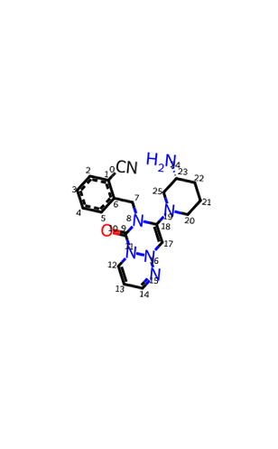 N#Cc1ccccc1CN1C(=O)N2C=CC=NN2C=C1N1CCC[C@@H](N)C1